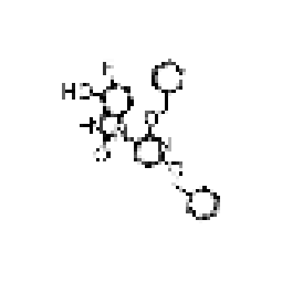 Cn1c(=O)n(-c2ccc(OCc3ccccc3)nc2OCc2ccccc2)c2ccc(F)c(O)c21